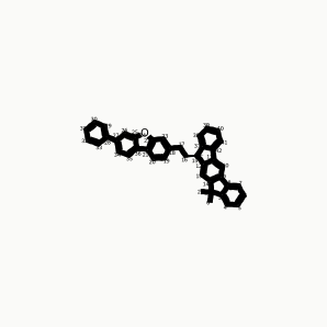 CC1(C)c2ccccc2-c2cc3c(cc21)[C@@H](CCc1ccc2c(c1)oc1cc(-c4ccccc4)ccc12)c1ccccc1-3